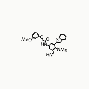 CNc1c(C=N)cc(NC(=O)COc2cccc(OC)c2)cc1-c1cc2ccccc2s1